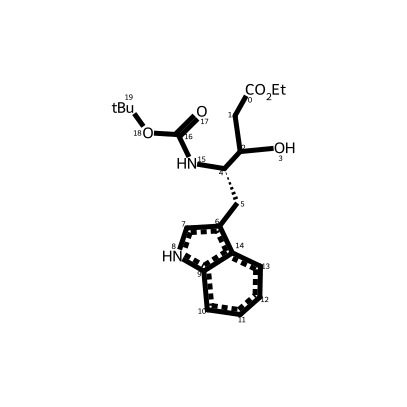 CCOC(=O)CC(O)[C@H](Cc1c[nH]c2ccccc12)NC(=O)OC(C)(C)C